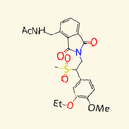 CCOc1cc(C(CN2C(=O)c3cccc(CNC(C)=O)c3C2=O)S(C)(=O)=O)ccc1OC